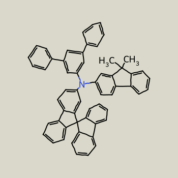 CC1(C)c2ccccc2-c2ccc(N(c3cc(-c4ccccc4)cc(-c4ccccc4)c3)c3ccc4c(c3)C3(c5ccccc5-c5ccccc53)c3ccccc3-4)cc21